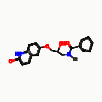 CCN(CC(O)COc1ccc2[nH]c(=O)ccc2c1)C(=O)c1ccccc1